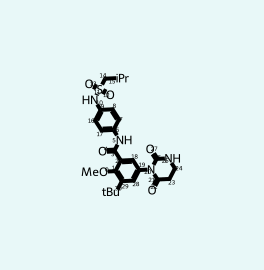 COc1c(C(=O)Nc2ccc(NS(=O)(=O)CC(C)C)cc2)cc(N2C(=O)CCNC2=O)cc1C(C)(C)C